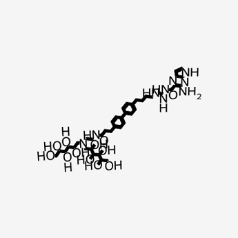 N=C(NCCCCc1ccc(-c2ccc(CCC(=O)NCCN(CC(O)C(O)C(O)C(O)CO)CC(O)C(O)C(O)C(O)CO)cc2)cc1)NC(=O)c1nc2cc[nH]c2nc1N